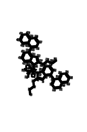 CCCCC1=Cc2c(-c3cccc4ccccc34)cccc2[CH]1[Zr]([Cl])([Cl])([CH]1C(CCCC)=Cc2c(-c3cccc4ccccc34)cccc21)=[Si](C)C